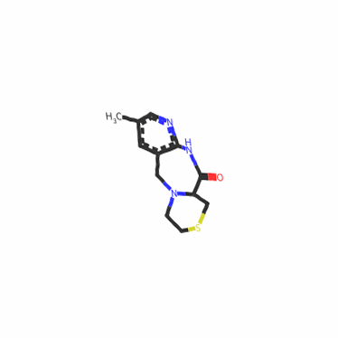 Cc1cnc2c(c1)CN1CCSCC1C(=O)N2